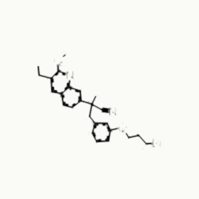 CCc1cc2ccc(C(C)(C#N)Cc3cccc(OCCCBr)c3)cc2nc1OC